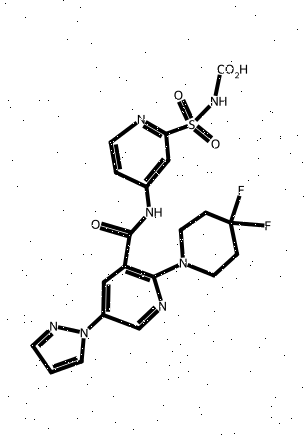 O=C(O)NS(=O)(=O)c1cc(NC(=O)c2cc(-n3cccn3)cnc2N2CCC(F)(F)CC2)ccn1